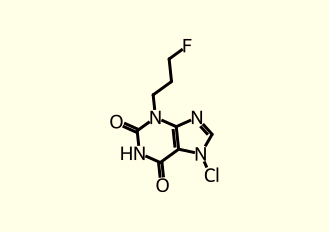 O=c1[nH]c(=O)n(CCCF)c2ncn(Cl)c12